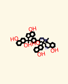 C#Cc1cccc(O)c1/C=C\CC(C)(C(/C=C\C(=C)c1ccc(C(C)(c2ccc3c(O)cccc3c2O)C2C=Cc3c(O)cccc32)cc1)=C/C)c1ccc2c(O)cccc2c1O